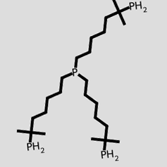 CC(C)(P)CCCCCP(CCCCCC(C)(C)P)CCCCCC(C)(C)P